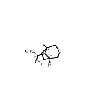 C[C@H](C=O)N1[C@@H]2CC[C@H]1COC2